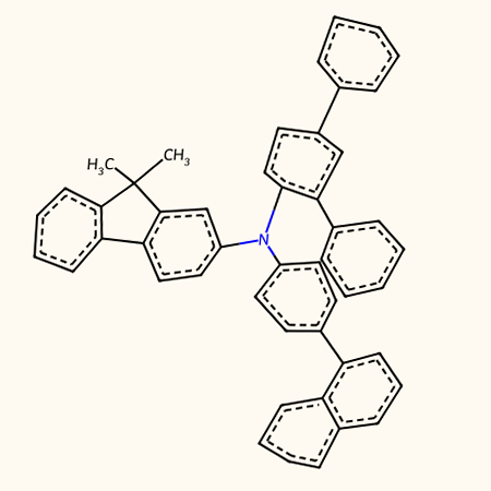 CC1(C)c2ccccc2-c2ccc(N(c3ccc(-c4cccc5ccccc45)cc3)c3ccc(-c4ccccc4)cc3-c3ccccc3)cc21